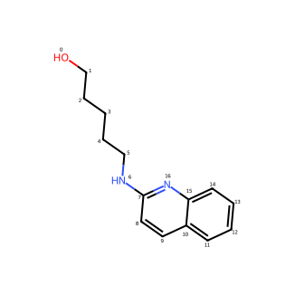 OCCCCCNc1ccc2ccccc2n1